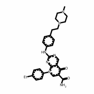 CCc1ccc(-n2cc(C(N)=O)c(=O)c3cnc(Nc4ccc(CCN5CCN(C)CC5)cc4)nc32)cc1